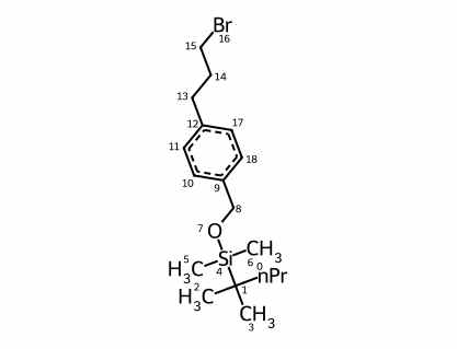 CCCC(C)(C)[Si](C)(C)OCc1ccc(CCCBr)cc1